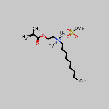 C=C(C)C(=O)OCC[N+](C)(C)CCCCCCCCCCCCCCCCCC.COS(=O)(=O)[O-]